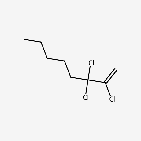 C=C(Cl)C(Cl)(Cl)CCCCC